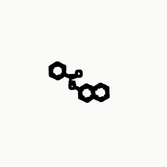 O=[PH](Oc1ccc2ccccc2c1)c1ccccc1